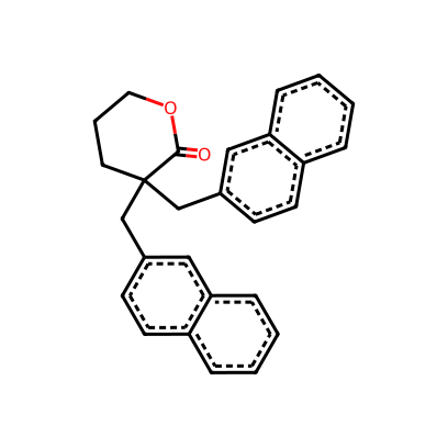 O=C1OCCCC1(Cc1ccc2ccccc2c1)Cc1ccc2ccccc2c1